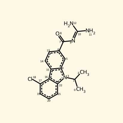 CC(C)n1c2cc(C(=O)N=C(N)N)ccc2c2c(Cl)cccc21